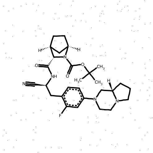 CC(C)(C)OC(=O)N1[C@@H]2CC[C@@H](C2)[C@H]1C(=O)N[C@H](C#N)Cc1ccc(N2CCN3CCC[C@H]3C2)cc1F